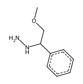 COCC(NN)c1ccccc1